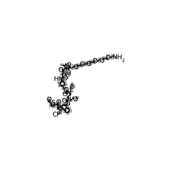 COCCN(CCN(CCOC)C(=O)Oc1cc2c(c3ccccc13)[C@H](CCl)CN2C(=O)c1ccc(C=O)s1)C(=O)OCc1ccc(NC(=O)CNC(=O)C(NC(=O)CCOCCOCCOCCOCCOCCOCCN)C(C)C)cc1